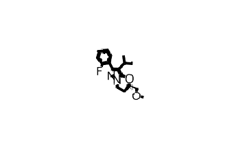 COC[C@H]1CCn2nc(-c3ccccc3F)c(C(C)C)c2O1